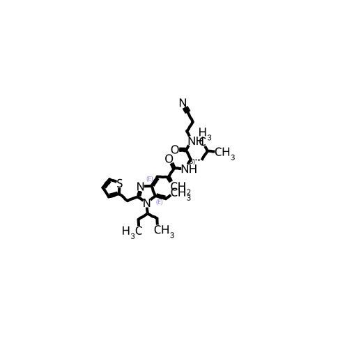 C=C(/C=c1/nc(Cc2cccs2)n(C(CC)CC)/c1=C/C)C(=O)N[C@@H](CC(C)C)C(=O)NCCC#N